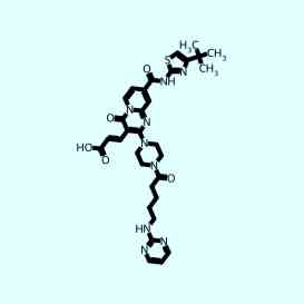 CC(C)(C)c1csc(NC(=O)c2ccn3c(=O)c(C=CC(=O)O)c(N4CCN(C(=O)CCCCNc5ncccn5)CC4)nc3c2)n1